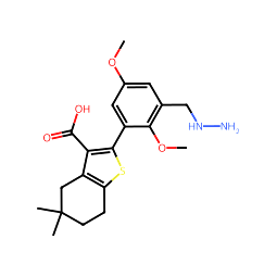 COc1cc(CNN)c(OC)c(-c2sc3c(c2C(=O)O)CC(C)(C)CC3)c1